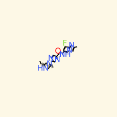 CC[C@H]1CN(c2cnc(C(=O)Nc3cc(F)c4nc(C)cn4c3)cn2)[C@H](C)CN1